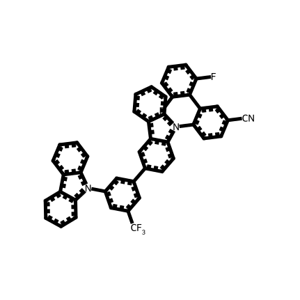 N#Cc1ccc(-n2c3ccccc3c3cc(-c4cc(-n5c6ccccc6c6ccccc65)cc(C(F)(F)F)c4)ccc32)c(-c2c(F)cccc2F)c1